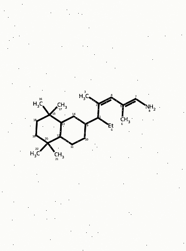 CCC(/C(C)=C\C(C)=C\N)C1CCC2C(C1)C(C)(C)CCC2(C)C